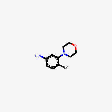 [C-]#[N+]c1ccc(N)cc1N1CCOCC1